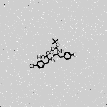 CN(C(=O)C(Cc1ccc(Cl)cc1)NC(=O)OC(C)(C)C)C(Cc1ccc(Cl)cc1)C(=O)O